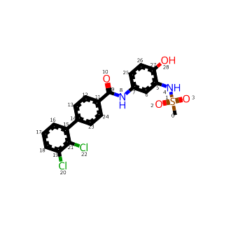 CS(=O)(=O)Nc1cc(NC(=O)c2ccc(-c3cccc(Cl)c3Cl)cc2)ccc1O